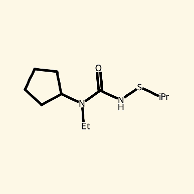 [CH2]CN(C(=O)NSC(C)C)C1CCCC1